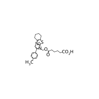 Cc1ccc(-c2c[n+]3c4c(sc3n2COC(=O)CCCCC(=O)O)CCCC4)cc1